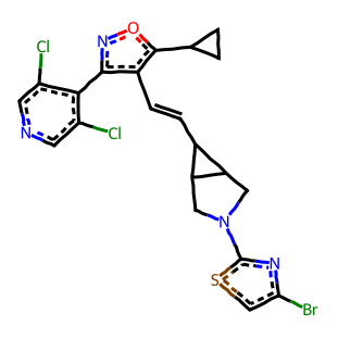 Clc1cncc(Cl)c1-c1noc(C2CC2)c1/C=C/C1C2CN(c3nc(Br)cs3)CC12